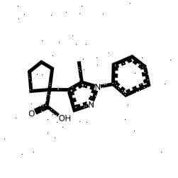 Cc1c(C2(C(=O)O)CCCC2)cnn1-c1ccccc1